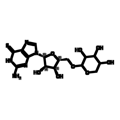 Nc1nc2c(ncn2[C@@H]2O[C@H](COC3OCC(O)C(O)C3O)[C@@H](O)[C@H]2O)c(=S)[nH]1